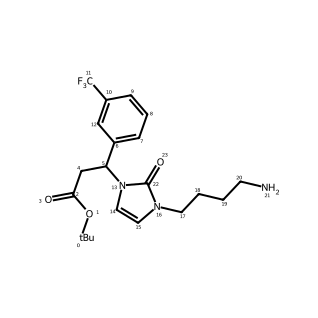 CC(C)(C)OC(=O)CC(c1cccc(C(F)(F)F)c1)n1ccn(CCCCN)c1=O